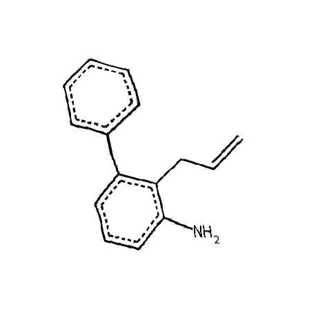 C=CCc1c(N)cccc1-c1ccccc1